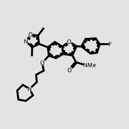 CNC(=O)c1c(-c2ccc(F)cc2)oc2cc(-c3c(C)noc3C)c(OCCCN3CCCCC3)cc12